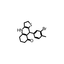 Cc1ccc(C2C3=C(CCS3)NC3=C2C(=O)CCC3)cc1Br